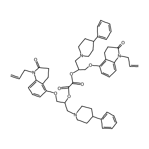 C=CCN1C(=O)CCc2c(OCC(CN3CCC(c4ccccc4)CC3)OC(=O)C(=O)OC(COc3cccc4c3CCC(=O)N4CC=C)CN3CCC(c4ccccc4)CC3)cccc21